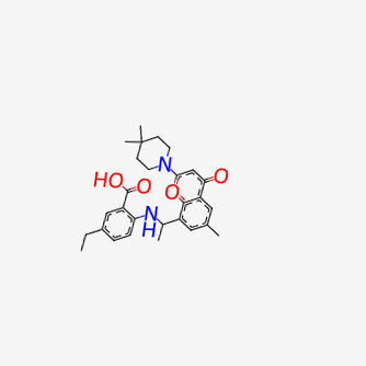 CCc1ccc(NC(C)c2cc(C)cc3c(=O)cc(N4CCC(C)(C)CC4)oc23)c(C(=O)O)c1